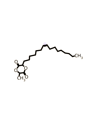 CCCCCCCC/C=C\CCCCCCC1OC(=O)C(C)OC1=O